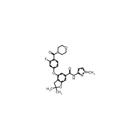 Cn1ccc(NC(=O)c2cc(Oc3ccc(C(=O)N4CCOCC4)c(F)c3)c3c(c2)OC(C)(C)C3)n1